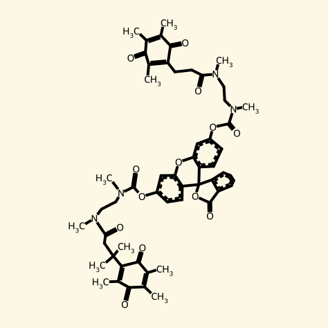 CC1=C(C)C(=O)C(CCC(=O)N(C)CCN(C)C(=O)Oc2ccc3c(c2)Oc2cc(OC(=O)N(C)CCN(C)C(=O)CC(C)(C)C4=C(C)C(=O)C(C)=C(C)C4=O)ccc2C32OC(=O)c3ccccc32)=C(C)C1=O